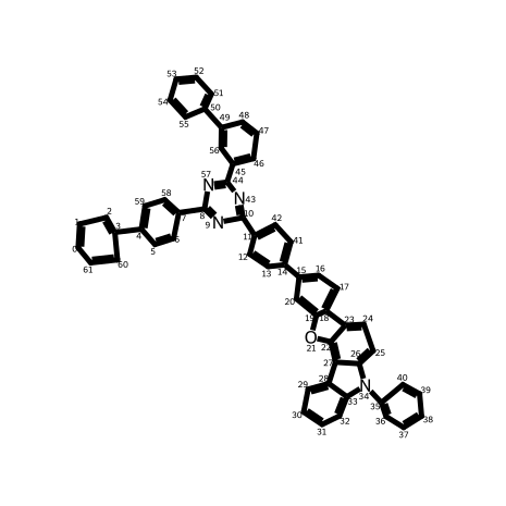 c1ccc(-c2ccc(-c3nc(-c4ccc(-c5ccc6c(c5)oc5c6ccc6c5c5ccccc5n6-c5ccccc5)cc4)nc(-c4cccc(-c5ccccc5)c4)n3)cc2)cc1